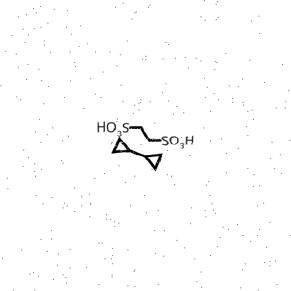 C1CC1C1CC1.O=S(=O)(O)CCS(=O)(=O)O